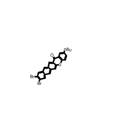 CCCCc1ccc2sc3cc4cc5cc(Br)c(Br)cc5cc4cc3c(=O)c2c1